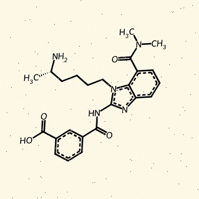 C[C@H](N)CCCCn1c(NC(=O)c2cccc(C(=O)O)c2)nc2cccc(C(=O)N(C)C)c21